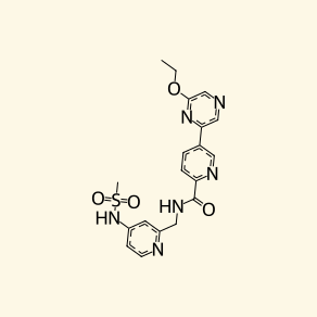 CCOc1cncc(-c2ccc(C(=O)NCc3cc(NS(C)(=O)=O)ccn3)nc2)n1